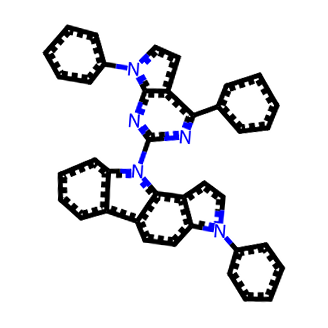 c1ccc(-c2nc(-n3c4ccccc4c4ccc5c(ccn5-c5ccccc5)c43)nc3c2ccn3-c2ccccc2)cc1